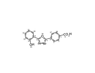 O=C(O)c1ccc(-c2nnc(-c3ccccc3O)o2)cc1